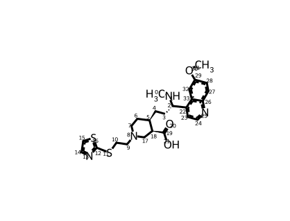 CN[C@@H](CC[C@@H]1CCN(CCSc2nccs2)C[C@@H]1C(=O)O)c1ccnc2ccc(OC)cc12